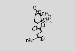 CCCC(=O)CCC(=O)OC1(C)CCC2CC1(C)OC2=O